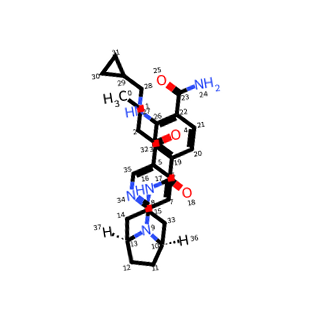 CCCC(=O)c1ccc(N2[C@@H]3CC[C@H]2C[C@@H](NC(=O)c2ccc(C(N)=O)c(NCC4CC4)c2)C3)nc1